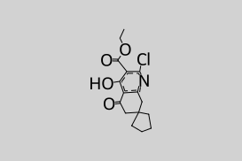 CCOC(=O)c1c(Cl)nc2c(c1O)C(=O)CC1(CCCC1)C2